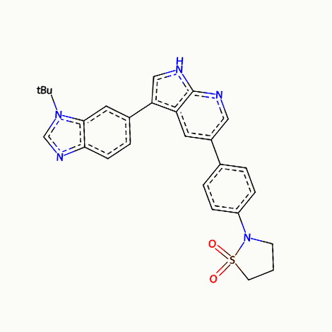 CC(C)(C)n1cnc2ccc(-c3c[nH]c4ncc(-c5ccc(N6CCCS6(=O)=O)cc5)cc34)cc21